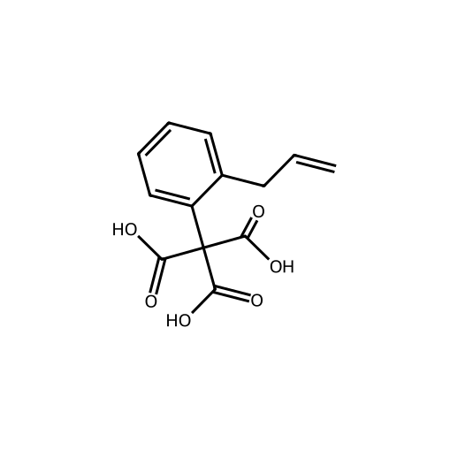 C=CCc1ccccc1C(C(=O)O)(C(=O)O)C(=O)O